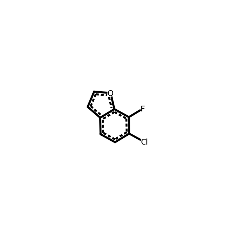 Fc1c(Cl)ccc2ccoc12